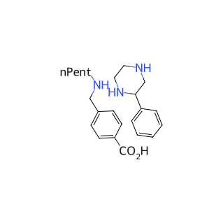 CCCCCNCc1ccc(C(=O)O)cc1.c1ccc(C2CNCCN2)cc1